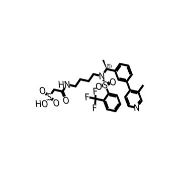 Cc1cnccc1-c1cccc([C@H](C)N(CCCCNC(=O)CS(=O)(=O)O)S(=O)(=O)c2ccccc2C(F)(F)F)c1